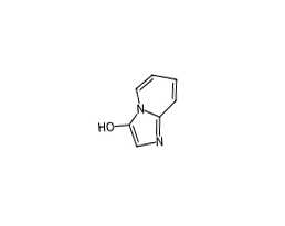 Oc1cnc2ccccn12